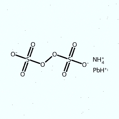 O=S(=O)([O-])OOS(=O)(=O)[O-].[NH4+].[PbH+]